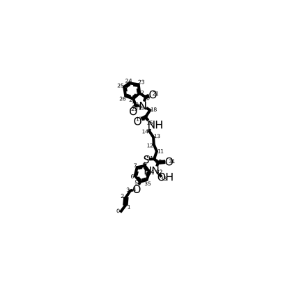 CC#CCOc1ccc(SC(CCCCNC(=O)CN2C(=O)c3ccccc3C2=O)C(=O)NO)cc1